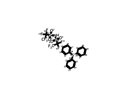 O=S(=O)(NS(=O)(=O)C(F)(F)C(F)(F)F)C(F)(F)C(F)(F)F.c1ccc([S+](c2ccccc2)c2ccccc2)cc1